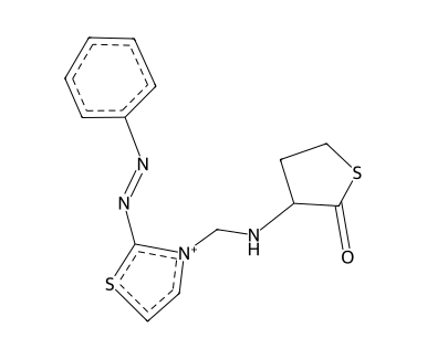 O=C1SCCC1NC[n+]1ccsc1/N=N/c1ccccc1